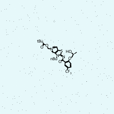 CCCCn1c(=NC(=O)c2cc(C(F)(F)F)ccc2OC[C@H](C)O)sc2cc[n+](COC(=O)C(C)(C)C)cc21